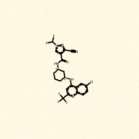 N#Cc1nn(C(F)F)cc1C(=O)N[C@@H]1CCC[C@H](Nc2cc(C(F)(F)F)nc3ccc(Cl)cc23)C1